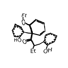 CCOC1C=CC=CC1(C(=O)C(CC)c1ccccc1O)c1ccccc1O